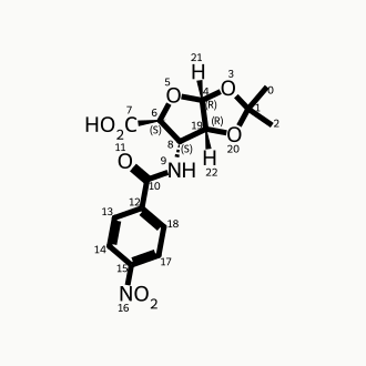 CC1(C)O[C@H]2O[C@H](C(=O)O)[C@@H](NC(=O)c3ccc([N+](=O)[O-])cc3)[C@H]2O1